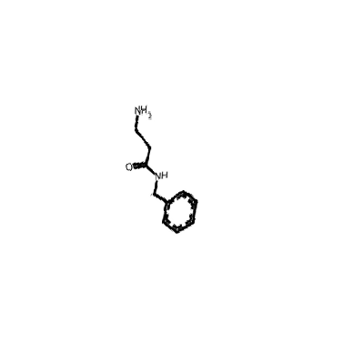 NCCC(=O)N[CH]c1ccccc1